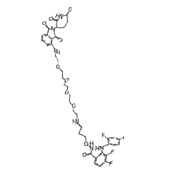 O=C1CCC(N2C(=O)c3cccc(NCCOCCOCCOCCOCCNCCCONC(=O)c4ccc(F)c(F)c4Nc4ccc(I)cc4F)c3C2=O)C(=O)N1